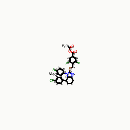 COc1cc(C2CCCc3nc(SCc4c(F)cc(C(=O)OC(=O)C(F)(F)F)cc4F)n(-c4ccc(F)cc4)c32)ccc1Cl